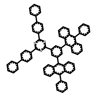 c1ccc(-c2ccc(-c3nc(-c4ccc(-c5ccccc5)cc4)nc(-c4cc(-c5c6ccccc6c(-c6ccccc6)c6ccccc56)cc(-c5c6ccccc6c(-c6ccccc6)c6ccccc56)c4)n3)cc2)cc1